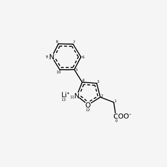 O=C([O-])Cc1cc(-c2cccnc2)no1.[Li+]